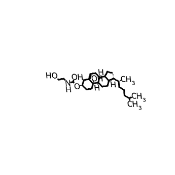 CC(C)CCC[C@@H](C)[C@H]1CCC2[C@@H]1CC[C@H]1[C@H]2CC=C2C[C@@H](OC(O)NCCO)CC[C@@]21O